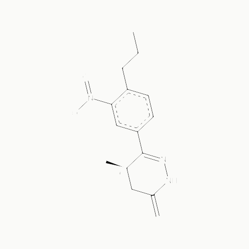 C=C1C[C@@H](C)C(c2ccc(CCC)c([N+](=O)[O-])c2)=NN1